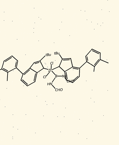 Cc1cccc(-c2cccc3c2C=C(C(C)(C)C)[CH]3[Zr]([Cl])([Cl])([B](NC=O)NC=O)[CH]2C(C(C)(C)C)=Cc3c(-c4cccc(C)c4C)cccc32)c1C